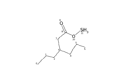 CCCC(CCC)CC(=O)O[SiH3]